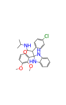 COc1cccc(C2(C(C(=O)NC(C)C)c3ccc(Cl)cc3)Nc3ccccc3N2)c1OC